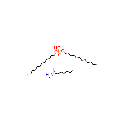 CCCCCCCCCCCCOP(=O)(O)OCCCCCCCCCCCC.CCCCCCNN